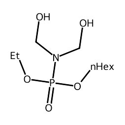 CCCCCCOP(=O)(OCC)N(CO)CO